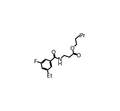 CCc1cc(F)cc(C(=O)NCCC(=O)OCCC(C)C)c1